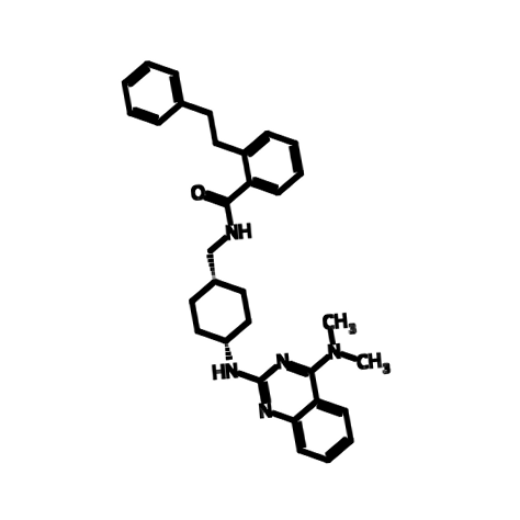 CN(C)c1nc(N[C@H]2CC[C@@H](CNC(=O)c3ccccc3CCc3ccccc3)CC2)nc2ccccc12